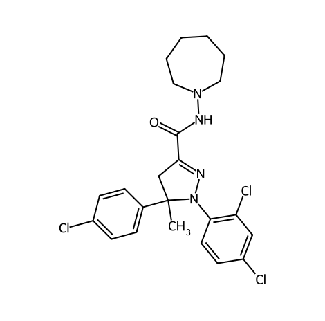 CC1(c2ccc(Cl)cc2)CC(C(=O)NN2CCCCCC2)=NN1c1ccc(Cl)cc1Cl